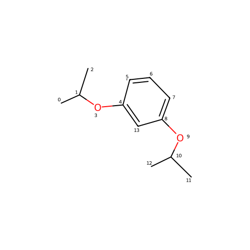 CC(C)Oc1[c]ccc(OC(C)C)c1